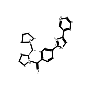 O=C(c1ccc(-c2nc(-c3cccnc3)cs2)cc1)N1CCC[C@H]1CN1CCCC1